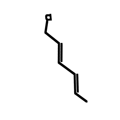 CC=CC=CCCl